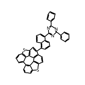 c1ccc(-c2nc(-c3ccccc3)nc(-c3cccc4c(-c5cc6sc7cccc8c7c6c6c5ccc5sc7cccc-8c7c56)cccc34)n2)cc1